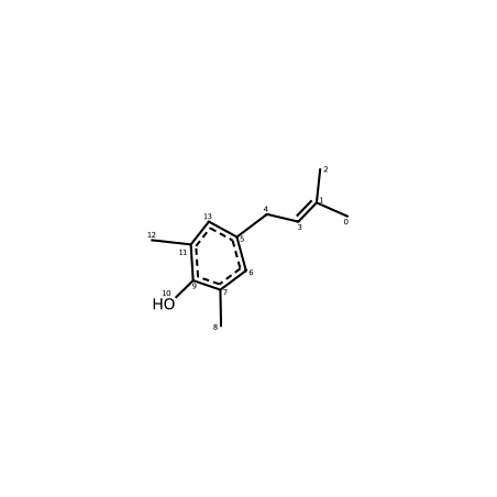 CC(C)=CCc1cc(C)c(O)c(C)c1